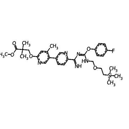 COC(=O)C(C)(C)COc1cc(C)c(-c2ccc(C(=N)/N=C(\NCOCC[Si](C)(C)C)Oc3ccc(F)cc3)nc2)cn1